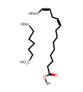 CCCCC/C=C\C/C=C\CCCCCCCC(=O)OC(C)C.CCCCCCCCCCCCCCCC(=O)O